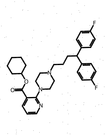 O=C(OC1CCCCC1)c1cccnc1N1CCN(CCCC(c2ccc(F)cc2)c2ccc(F)cc2)CC1